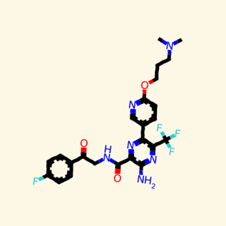 CN(C)CCCOc1ccc(-c2nc(C(=O)NCC(=O)c3ccc(F)cc3)c(N)nc2C(F)(F)F)cn1